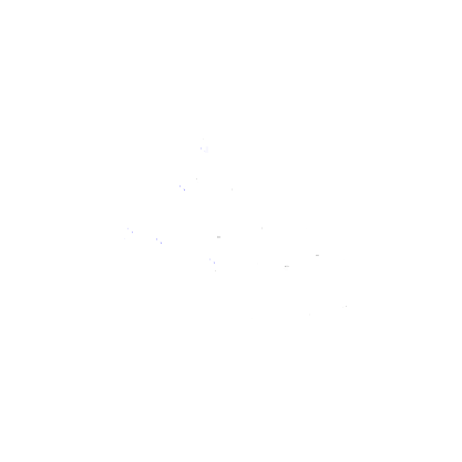 NNc1nc(N)cc(OCc2c(Cl)cccc2Cl)c1N